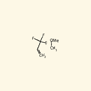 C=CC(F)(F)F.COC